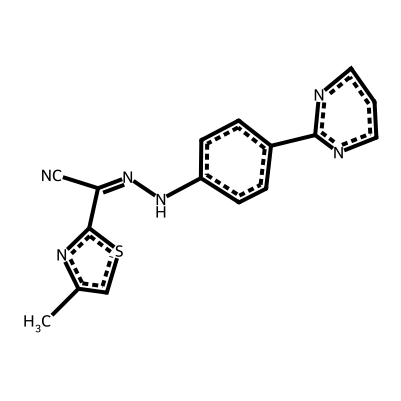 Cc1csc(C(C#N)=NNc2ccc(-c3ncccn3)cc2)n1